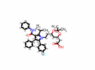 CC(C)c1c(C(=O)Nc2ccccc2)c(-c2ccccc2)c(-c2ccc(F)cc2)n1CC[C@@H]1C[C@H](CC(=O)O)OC(C)(C)O1